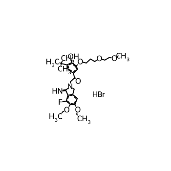 Br.CCOc1cc2c(c(F)c1OCC)C(=N)N(CC(=O)c1cc(OCCCOCCOC)c(O)c(C(C)(C)C)c1)C2